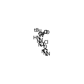 Cn1c(Nc2cc(C(C)(C)C)n([C@@H]3CCOC3)n2)nc2ncc(Oc3cnn4ccnc4c3)c(Cl)c21